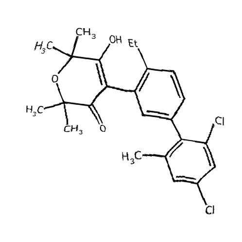 CCc1ccc(-c2c(C)cc(Cl)cc2Cl)cc1C1=C(O)C(C)(C)OC(C)(C)C1=O